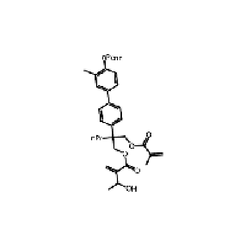 C=C(C)C(=O)OCC(CCC)(COC(=O)C(=C)C(C)O)c1ccc(-c2ccc(CCCCC)c(C)c2)cc1